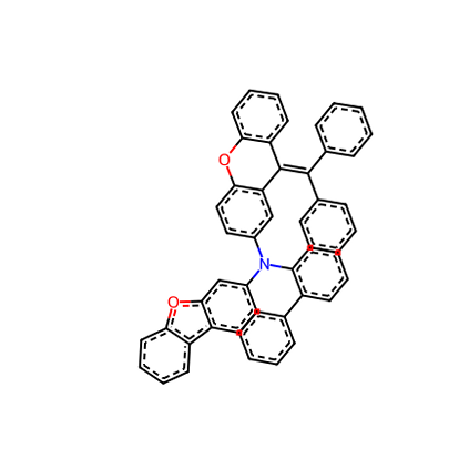 c1ccc(C(=C2c3ccccc3Oc3ccc(N(c4ccc5c(c4)oc4ccccc45)c4ccccc4-c4ccccc4)cc32)c2ccccc2)cc1